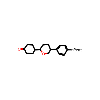 CCCCCc1ccc(C2CCC(C3CCC(=O)CC3)OC2)cc1